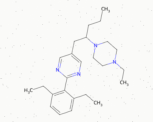 CCCC(Cc1cnc(-c2c(CC)cccc2CC)nc1)N1CCN(CC)CC1